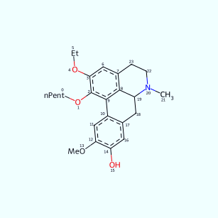 CCCCCOc1c(OCC)cc2c3c1-c1cc(OC)c(O)cc1CC3N(C)CC2